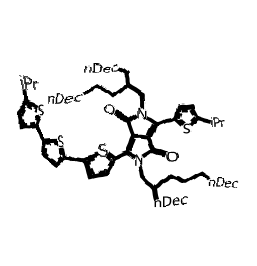 CCCCCCCCCCCCCC(CCCCCCCCCC)CN1C(=O)C2=C(c3ccc(C(C)C)s3)N(CC(CCCCCCCCCCC)CCCCCCCCCCCC)C(=O)C2=C1c1ccc(-c2ccc(-c3ccc(C(C)C)s3)s2)s1